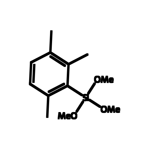 CO[Si](OC)(OC)c1c(C)ccc(C)c1C